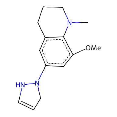 COc1cc(N2CC=CN2)cc2c1N(C)CCC2